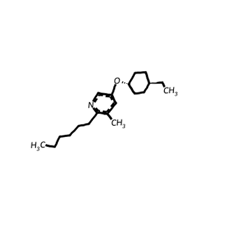 CCCCCCc1ncc(O[C@H]2CC[C@H](CC)CC2)cc1C